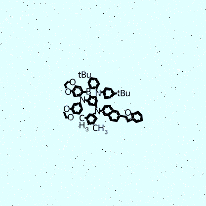 Cc1cc(C)cc(N(c2cc3c4c(c2)N(c2ccc5c(c2)OCCO5)c2cc5c(cc2B4c2cc(C(C)(C)C)ccc2N3c2ccc(C(C)(C)C)cc2)OCCO5)c2ccc3cc(-c4cc5ccccc5o4)ccc3c2)c1